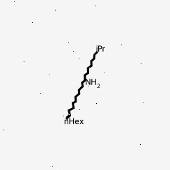 CCCCCCC=CCCCCCCCCCC(N)CCCCCCCCC(C)C